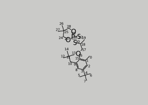 Cc1cc(C(C)(C)C)cc(CC(C)(C)C)c1OCC(C)SP1(=S)OCC(C)(C)CO1